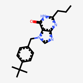 CCCc1nc2ncn(Cc3ccc(C(C)(C)C)cc3)c2c(=O)[nH]1